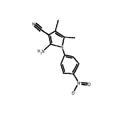 Cc1c(C#N)c(N)n(-c2ccc([N+](=O)[O-])cc2)c1C